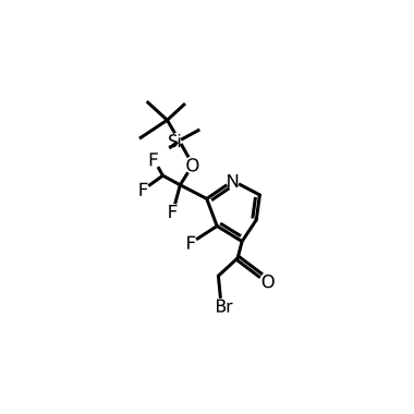 CC(C)(C)[Si](C)(C)OC(F)(c1nccc(C(=O)CBr)c1F)C(F)F